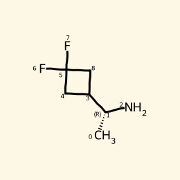 C[C@@H](N)C1CC(F)(F)C1